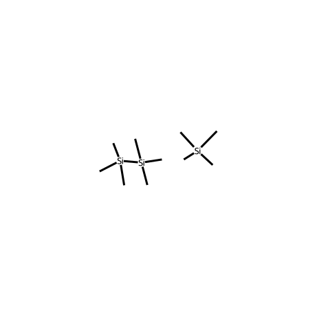 C[Si](C)(C)C.C[Si](C)(C)[Si](C)(C)C